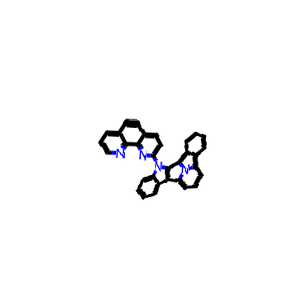 c1cnc2c(c1)ccc1ccc(-n3c4ccccc4c4c3c3c5ccccc5c5cccc4n53)nc12